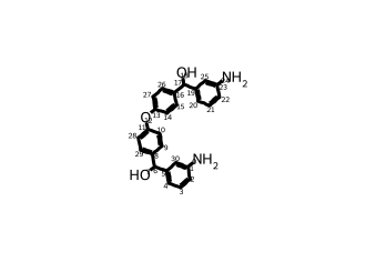 Nc1cccc(C(O)c2ccc(Oc3ccc(C(O)c4cccc(N)c4)cc3)cc2)c1